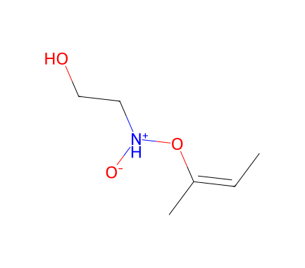 CC=C(C)O[NH+]([O-])CCO